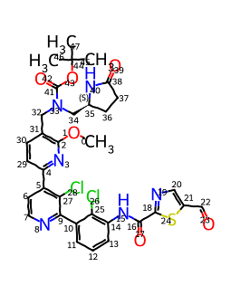 COc1nc(-c2ccnc(-c3cccc(NC(=O)c4ncc(C=O)s4)c3Cl)c2Cl)ccc1CN(C[C@@H]1CCC(=O)N1)C(=O)OC(C)(C)C